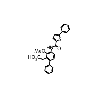 COc1c(NC(=O)c2ccc(-c3ccccc3)s2)ccc(-c2ccccc2)c1CC(=O)O